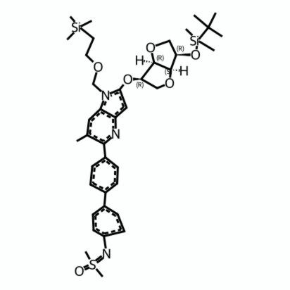 Cc1cc2c(cc(O[C@@H]3CO[C@H]4[C@@H]3OC[C@H]4O[Si](C)(C)C(C)(C)C)n2COCC[Si](C)(C)C)nc1-c1ccc(-c2ccc(N=S(C)(C)=O)cc2)cc1